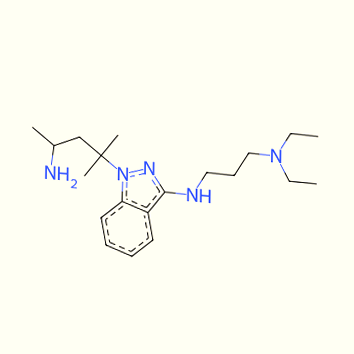 CCN(CC)CCCNc1nn(C(C)(C)CC(C)N)c2ccccc12